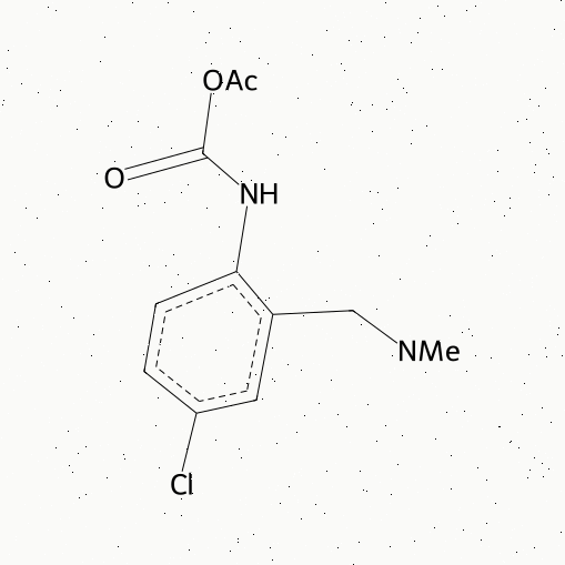 CNCc1cc(Cl)ccc1NC(=O)OC(C)=O